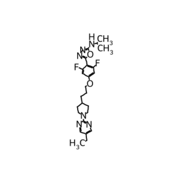 CCc1cnc(N2CCC(CCCOc3cc(F)c(-c4nnc(NC(C)C)o4)c(F)c3)CC2)nc1